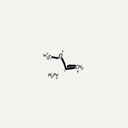 C=COC.[PoH2]